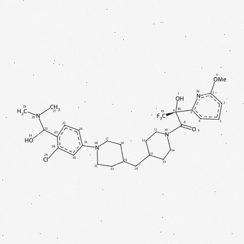 COc1cccc([C@@](O)(C(=O)N2CCC(CC3CCN(c4ccc(C(O)N(C)C)c(Cl)c4)CC3)CC2)C(F)(F)F)n1